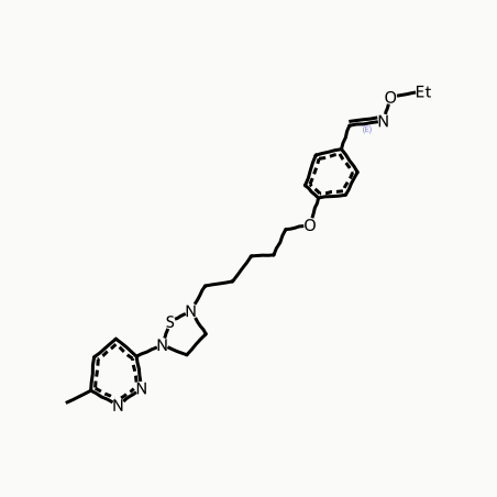 CCO/N=C/c1ccc(OCCCCCN2CCN(c3ccc(C)nn3)S2)cc1